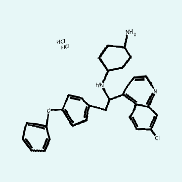 Cl.Cl.NC1CCC(NC(Cc2ccc(Oc3ccccc3)cc2)c2ccnc3cc(Cl)ccc23)CC1